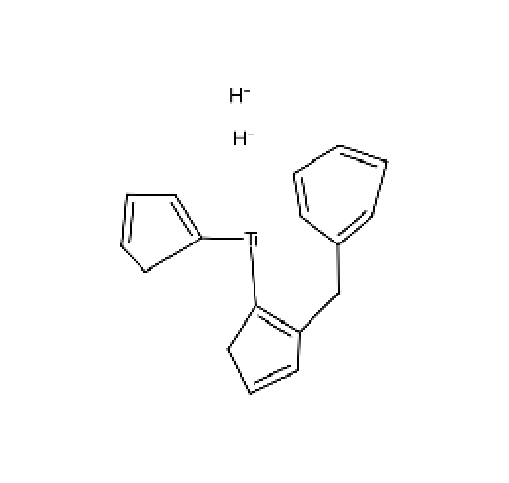 C1=CC[C]([Ti][C]2=C(Cc3ccccc3)C=CC2)=C1.[H-].[H-]